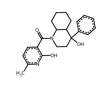 Cc1ccc(C(=O)N2CCC(O)(c3ccccc3)C3CCCCC32)c(O)n1